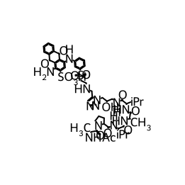 CC(=O)NC(C)C(=O)N1CCCC1C(=O)NC(C(=O)NC(C)C(=O)NC(C(=O)NCC(O)Cn1nncc1CNCCS(=O)(=O)c1cccc(Nc2cc(S(=O)(=O)O)c(N)c3c2C(=O)c2ccccc2C3=O)c1)C(C)C)C(C)C